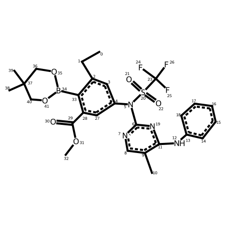 CCc1cc(N(c2ncc(C)c(Nc3ccccc3)n2)S(=O)(=O)C(F)(F)F)cc(C(=O)OC)c1B1OCC(C)(C)CO1